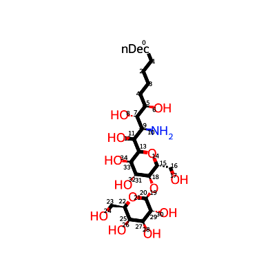 CCCCCCCCCCCCCC[C@@H](O)[C@@H](O)[C@@H](N)C(O)C1O[C@H](CO)[C@@H](O[C@@H]2O[C@H](CO)[C@H](O)[C@H](O)[C@H]2O)[C@H](O)[C@H]1O